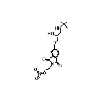 CC(C)(C)NCC(O)COc1ccc2c(c1)C(=O)N(CCO[N+](=O)[O-])C2=O